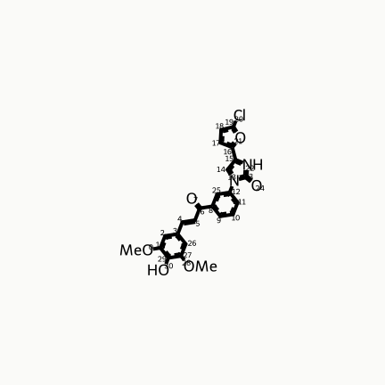 COc1cc(C=CC(=O)c2cccc(-n3cc(-c4ccc(Cl)o4)[nH]c3=O)c2)cc(OC)c1O